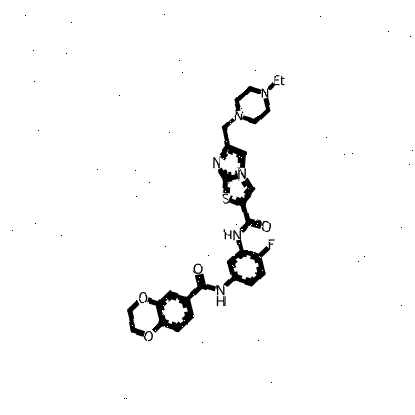 CCN1CCN(Cc2cn3cc(C(=O)Nc4cc(NC(=O)c5ccc6c(c5)OCCO6)ccc4F)sc3n2)CC1